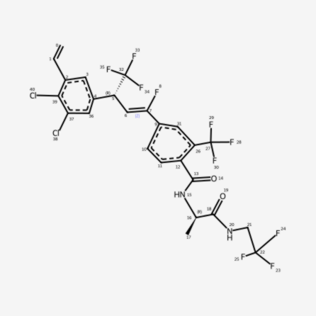 C=Cc1cc([C@@H](/C=C(\F)c2ccc(C(=O)N[C@H](C)C(=O)NCC(F)(F)F)c(C(F)(F)F)c2)C(F)(F)F)cc(Cl)c1Cl